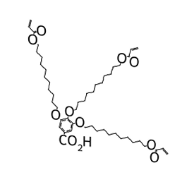 C=CC(=O)OCCCCCCCCCCCOc1cc(C(=O)O)cc(OCCCCCCCCCCCOC(=O)C=C)c1OCCCCCCCCCCCOC(=O)C=C